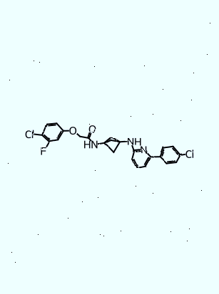 O=C(COc1ccc(Cl)c(F)c1)NC12CC(Nc3cccc(-c4ccc(Cl)cc4)n3)(C1)C2